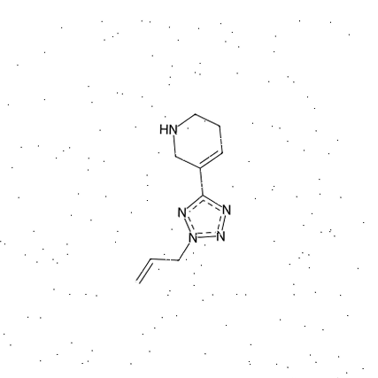 C=CCn1nnc(C2=CCCNC2)n1